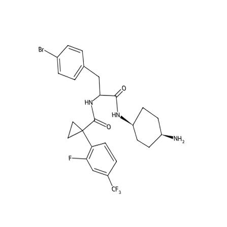 N[C@H]1CC[C@@H](NC(=O)C(Cc2ccc(Br)cc2)NC(=O)C2(c3ccc(C(F)(F)F)cc3F)CC2)CC1